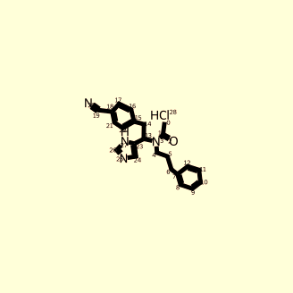 CC(=O)N(CCCc1ccccc1)C(Cc1ccc(C#N)cc1)c1cnc[nH]1.Cl